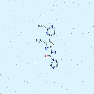 CSc1nccc(-c2sc(NC(=O)n3ccnc3)nc2C)n1